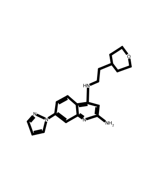 Nc1cc(NCCC2CCOCC2)c2ccc(-n3cccn3)cc2n1